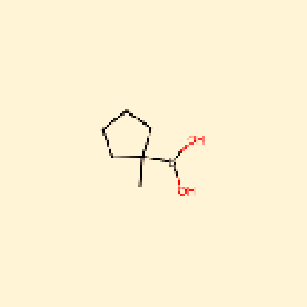 CC1(B(O)O)CCCC1